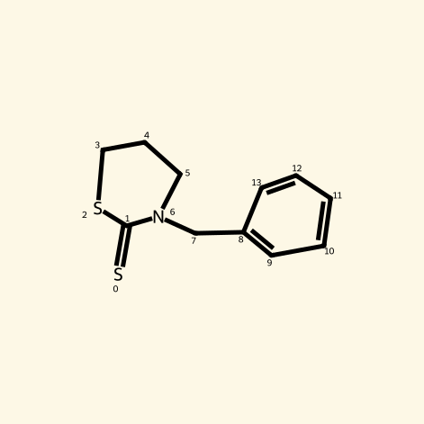 S=C1SCCCN1Cc1ccccc1